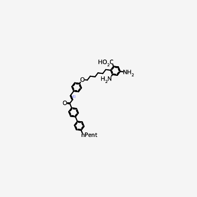 CCCCCc1ccc(-c2ccc(C(=O)/C=C/c3ccc(OCCCCCCc4c(N)cc(N)cc4C(=O)O)cc3)cc2)cc1